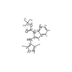 Cc1noc(C)c1Nc1cc2cccnc2n1C(=O)OC(C)(C)C